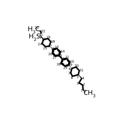 CCCCC[C@H]1CC[C@H](c2ccc(-c3ccc([C@H]4CC[C@H]([SiH2]CC)CC4)cc3)cc2)CC1